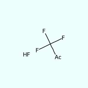 CC(=O)C(F)(F)F.F